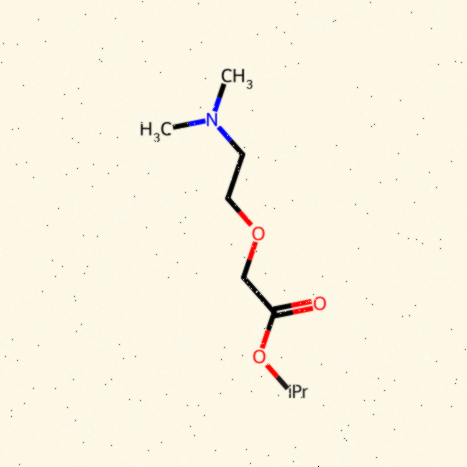 CC(C)OC(=O)COCCN(C)C